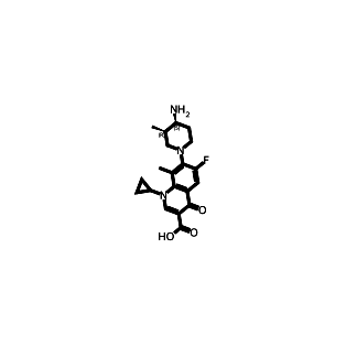 Cc1c(N2CC[C@H](N)[C@H](C)C2)c(F)cc2c(=O)c(C(=O)O)cn(C3CC3)c12